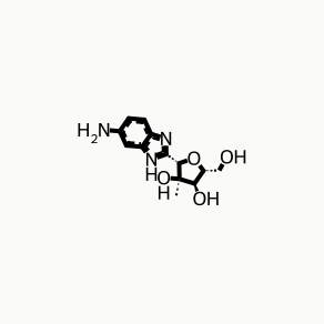 C[C@@]1(O)[C@H](O)[C@@H](CO)O[C@H]1c1nc2ccc(N)cc2[nH]1